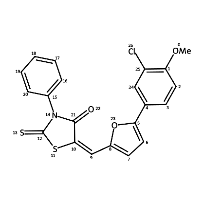 COc1ccc(-c2ccc(C=C3SC(=S)N(c4ccccc4)C3=O)o2)cc1Cl